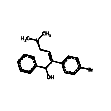 CN(C)CC=C(c1ccc(Br)cc1)C(O)c1ccccc1